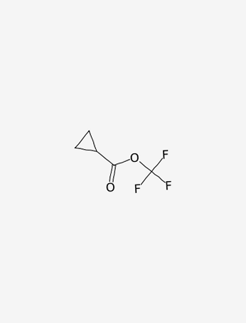 O=C(OC(F)(F)F)C1CC1